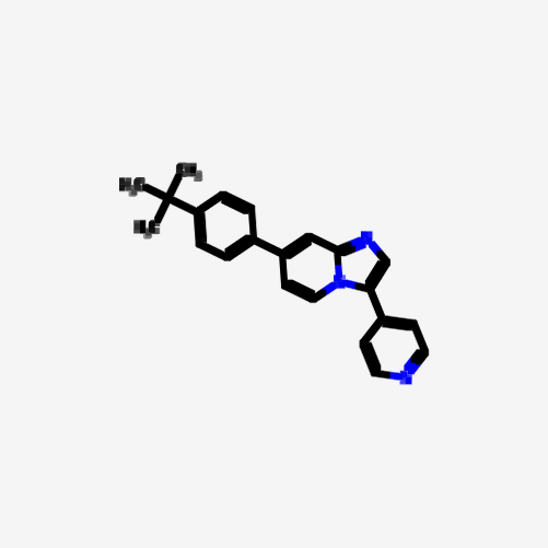 CC(C)(C)c1ccc(-c2ccn3c(-c4ccncc4)cnc3c2)cc1